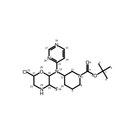 CC(C)(C)OC(=O)N1CCCC(N(c2ccncn2)C2OC(Cl)CNC2F)C1